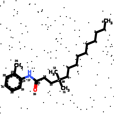 CCCCCCCCCC[Si](C)(C)CCC(=O)Nc1ccccc1C